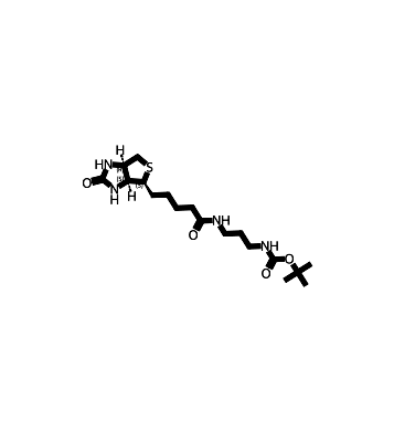 CC(C)(C)OC(=O)NCCCNC(=O)CCCC[C@@H]1SC[C@@H]2NC(=O)N[C@@H]21